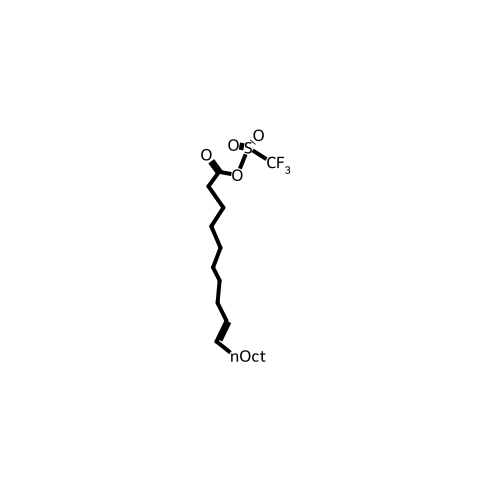 CCCCCCCCC=CCCCCCCCC(=O)OS(=O)(=O)C(F)(F)F